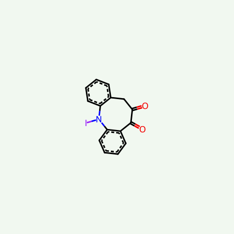 O=C1Cc2ccccc2N(I)c2ccccc2C1=O